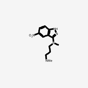 CNCCCN(C)c1n[nH]c2ccc([N+](=O)[O-])cc12